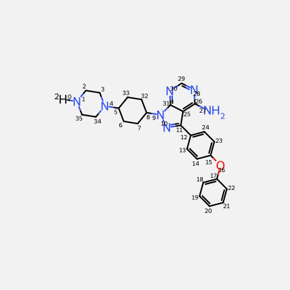 [2H]N1CCN(C2CCC(n3nc(-c4ccc(Oc5ccccc5)cc4)c4c(N)ncnc43)CC2)CC1